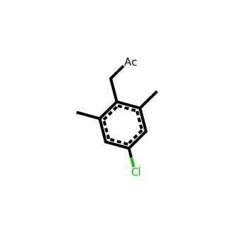 CC(=O)Cc1c(C)cc(Cl)cc1C